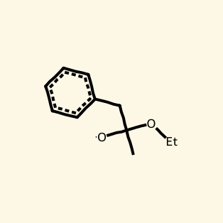 CCOC(C)([O])Cc1ccccc1